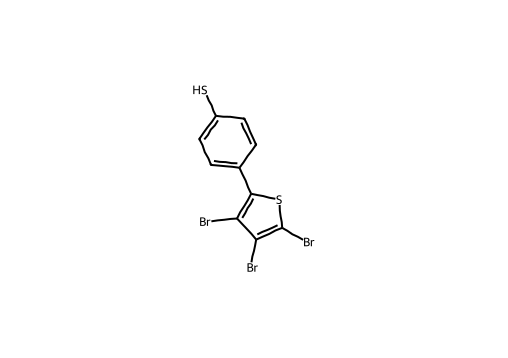 Sc1ccc(-c2sc(Br)c(Br)c2Br)cc1